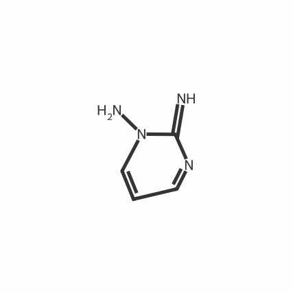 N=c1ncccn1N